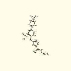 CCOC(=O)c1cc(Cc2ccc(N3CC4C(C3)C4(F)F)nc2C(F)F)no1